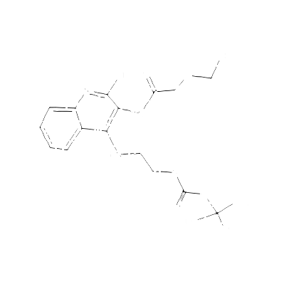 CCOCC(=O)Nc1c(Cl)nc2ccccc2c1NCCNC(=O)OC(C)(C)C